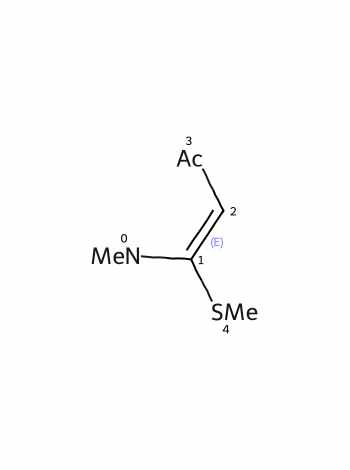 CN/C(=C\C(C)=O)SC